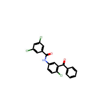 O=C(Nc1ccc(Cl)c(C(=O)c2ccccc2)c1)c1cc(Cl)cc(Cl)c1